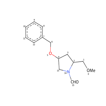 COCC1CC(OCc2ccccc2)CN1C=O